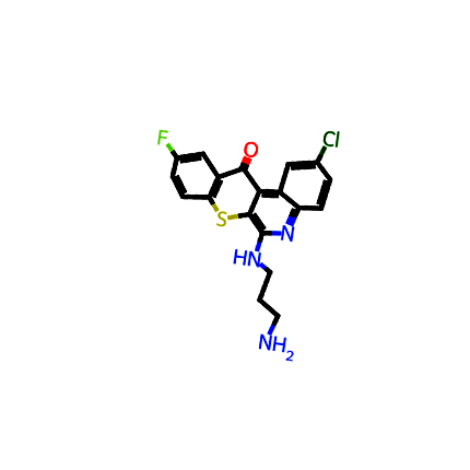 NCCCNc1nc2ccc(Cl)cc2c2c(=O)c3cc(F)ccc3sc12